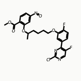 COC(=O)c1ccc(N=O)cc1OC(C)CCCCOc1cc(-c2nc(Cl)ncc2F)ccc1F